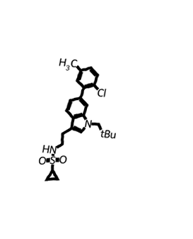 Cc1ccc(Cl)c(-c2ccc3c(CCNS(=O)(=O)C4CC4)cn(CC(C)(C)C)c3c2)c1